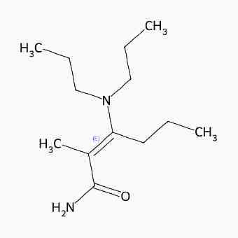 CCC/C(=C(/C)C(N)=O)N(CCC)CCC